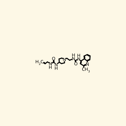 C=CCNC(=O)NC1CCN(CCNC(=O)Nc2cc(C)nc3ccccc23)CC1